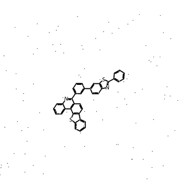 c1ccc(-c2nc3ccc(-c4cccc(-c5nc6ccccc6c6c5ccc5c7ccccc7sc56)c4)cc3s2)cc1